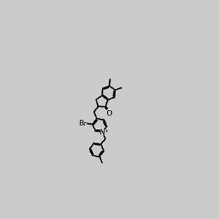 Cc1cccc(C[n+]2ccc(CC3Cc4cc(C)c(C)cc4C3=O)c(Br)c2)c1